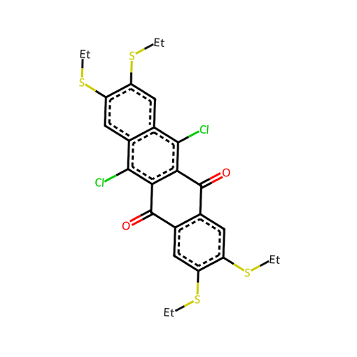 CCSc1cc2c(cc1SCC)C(=O)c1c(c(Cl)c3cc(SCC)c(SCC)cc3c1Cl)C2=O